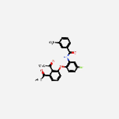 COC(=O)c1cccc(Oc2ccc(F)cc2NC(=O)c2cccc([N+](=O)[O-])c2)c1C(=O)OC